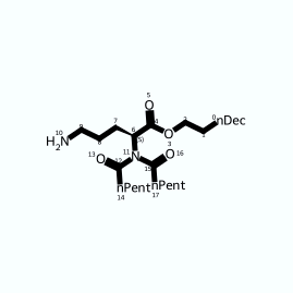 CCCCCCCCCCCCOC(=O)[C@H](CCCN)N(C(=O)CCCCC)C(=O)CCCCC